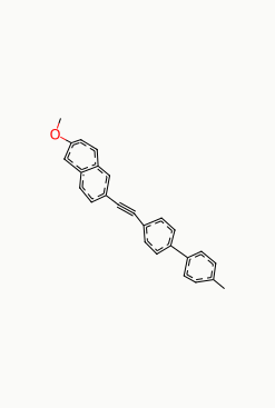 COc1ccc2cc(C#Cc3ccc(-c4ccc(C)cc4)cc3)ccc2c1